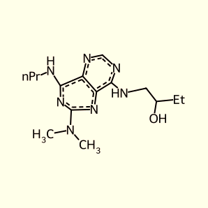 CCCNc1nc(N(C)C)nc2c(NCC(O)CC)ncnc12